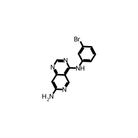 Nc1cc2ncnc(Nc3cccc(Br)c3)c2cn1